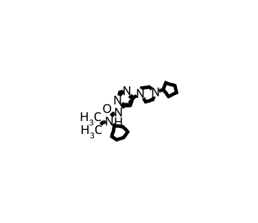 CC(C)N(C(=O)Nc1cc(N2CCN(C3CCCC3)CC2)ncn1)C1CCCCC1